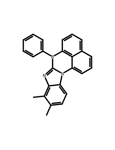 Cc1ccc2c(nc3n2-c2cccc4cccc(c24)B3c2ccccc2)c1C